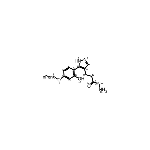 CCCCCOc1ccc(-c2[nH]ncc2CCC(=O)NN)c(O)c1